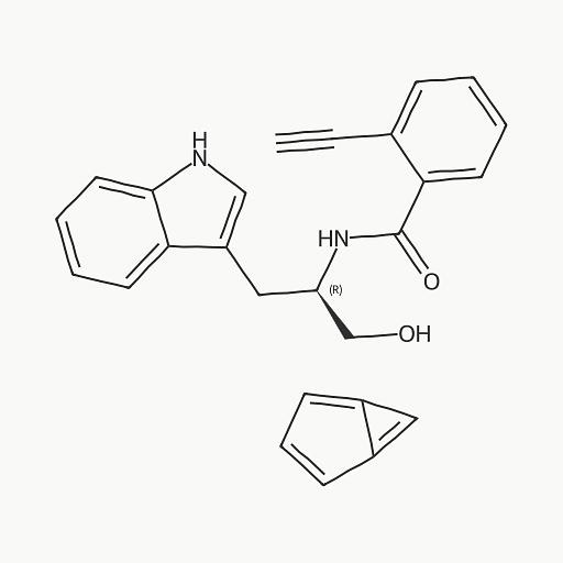 C#Cc1ccccc1C(=O)N[C@@H](CO)Cc1c[nH]c2ccccc12.c1cc2cc-2c1